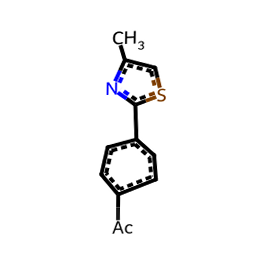 CC(=O)c1ccc(-c2nc(C)cs2)cc1